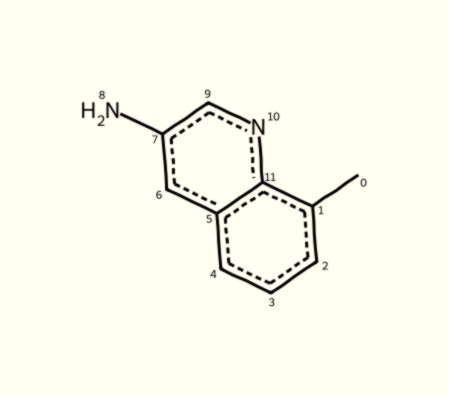 Cc1cccc2cc(N)cnc12